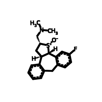 CN(C)C[C@H]1C[C@@H]2c3ccccc3Cc3ccc(F)cc3[C@H]2[S@@+]1[O-]